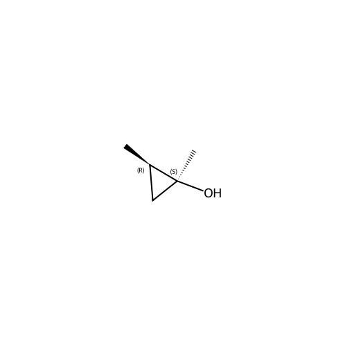 C[C@@H]1C[C@]1(C)O